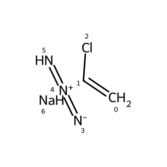 C=CCl.[N-]=[N+]=N.[NaH]